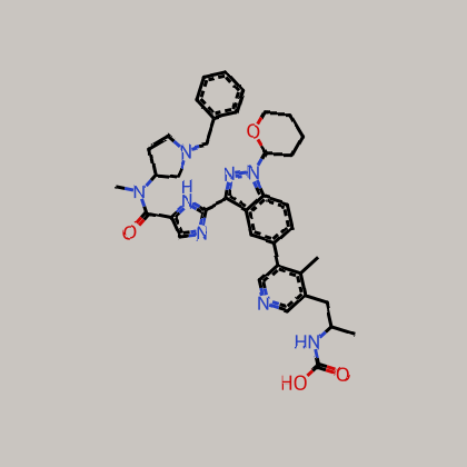 Cc1c(CC(C)NC(=O)O)cncc1-c1ccc2c(c1)c(-c1ncc(C(=O)N(C)C3CCN(Cc4ccccc4)C3)[nH]1)nn2C1CCCCO1